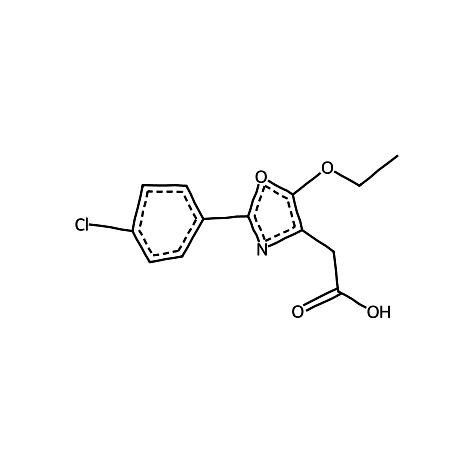 CCOc1oc(-c2ccc(Cl)cc2)nc1CC(=O)O